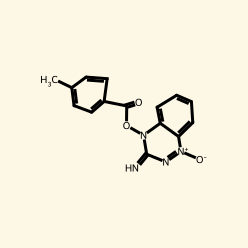 Cc1ccc(C(=O)On2c(=N)n[n+]([O-])c3ccccc32)cc1